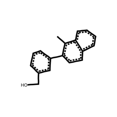 Cc1c(-c2cccc(CO)c2)ccc2ccccc12